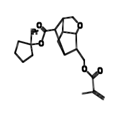 C=C(C)C(=O)OCC1C2CC3C(COC31)C2C(=O)OC1(C(C)C)CCCC1